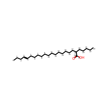 CCCC=CCCCCCCCCCCCCCC(CCCCC)C(=O)O